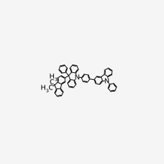 CC1(C)c2ccccc2-c2cc(C3(c4ccccc4)c4ccccc4N(c4ccc(-c5ccc6c(c5)c5ccccc5n6-c5ccccc5)cc4)c4ccccc43)ccc21